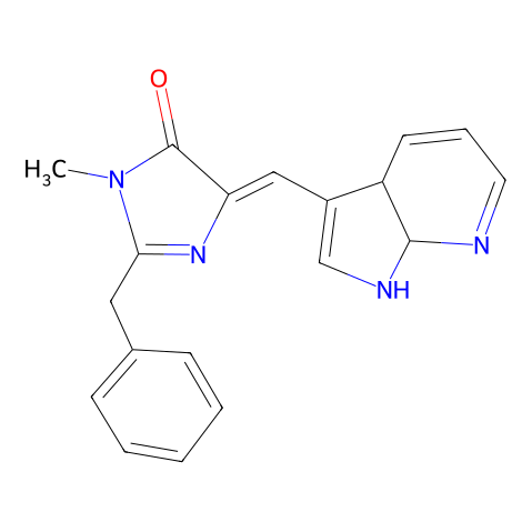 CN1C(=O)/C(=C/C2=CNC3N=CC=CC23)N=C1Cc1ccccc1